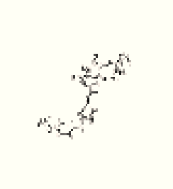 COc1ccc(Cn2cc(CNc3cc4c(c(C)n3)NC(=O)C(OC(C)C)N4C)cn2)cn1